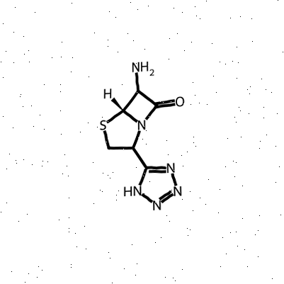 NC1C(=O)N2C(c3nnn[nH]3)CS[C@H]12